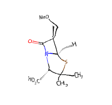 CO/C=C1\C(=O)N2[C@@H]1SC(C)(C)[C@@H]2C(=O)O